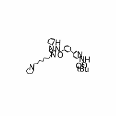 CC(C)(C)OC(=O)Nc1ccc(-c2cccc(C(=O)Nc3nc(CCCCCCN4CCCCC4)cn3-c3ccccc3)c2)cn1